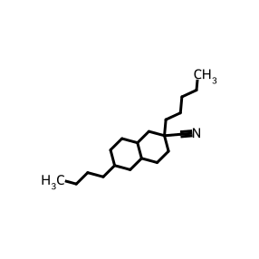 CCCCCC1(C#N)CCC2CC(CCCC)CCC2C1